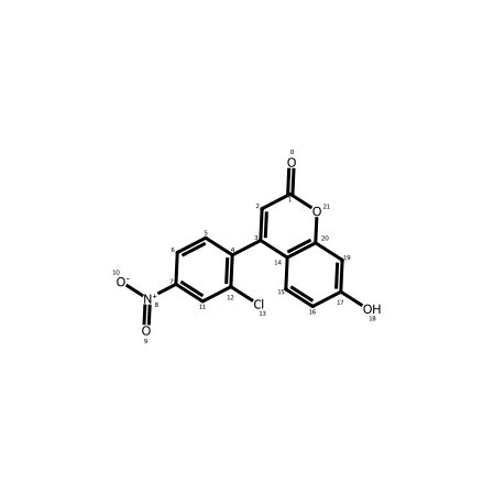 O=c1cc(-c2ccc([N+](=O)[O-])cc2Cl)c2ccc(O)cc2o1